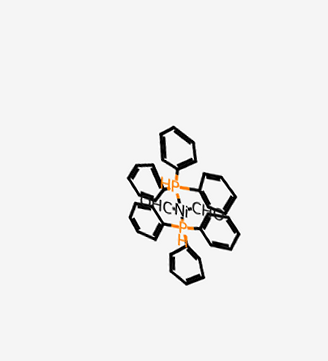 O=[CH][Ni]([CH]=O)([PH](c1ccccc1)(c1ccccc1)c1ccccc1)[PH](c1ccccc1)(c1ccccc1)c1ccccc1